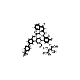 CCN1CCC(N(Cc2ccc(-c3ccc(C(F)(F)F)cc3)cc2)C(=O)Cn2c(CCc3cccc(F)c3F)cc(=O)c3ccccc32)CC1.O=C(O)C(O)C(O)C(=O)O